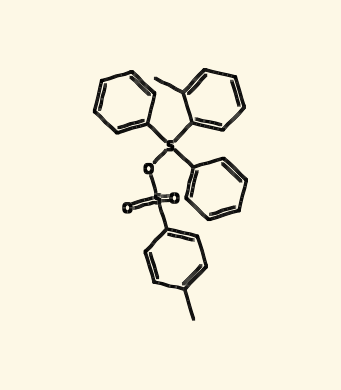 Cc1ccc(S(=O)(=O)OS(c2ccccc2)(c2ccccc2)c2ccccc2C)cc1